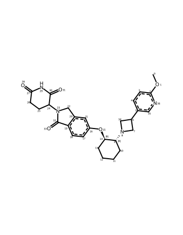 COc1ccc(C2CN([C@@H]3CCCC[C@H]3Oc3ccc4c(c3)CN(C3CCC(=O)NC3=O)C4=O)C2)cn1